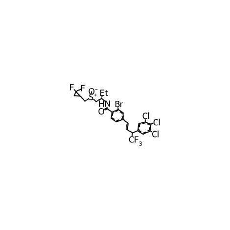 CC[C@H](C[S+]([O-])CC1CC1(F)F)NC(=O)c1ccc(/C=C/C(c2cc(Cl)c(Cl)c(Cl)c2)C(F)(F)F)cc1Br